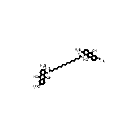 COc1ccc2c(O)c3c(OC(=O)CCCCCCCCCCCCCC(=O)Oc4c(OC)ccc5c(O)c6cc(OC)ccc6c(O)c45)c(OC)ccc3c(O)c2c1